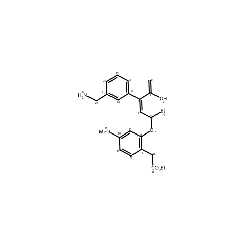 C=C(O)/C(=C\C(CC)Oc1cc(OC)ccc1CC(=O)OCC)c1cccc(CN)c1